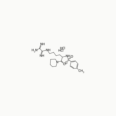 Cc1ccc(S(=O)(=O)NC(CCCCNC(=N)C(=N)N)C(=O)N2CCCCC2)cc1.Cl.Cl